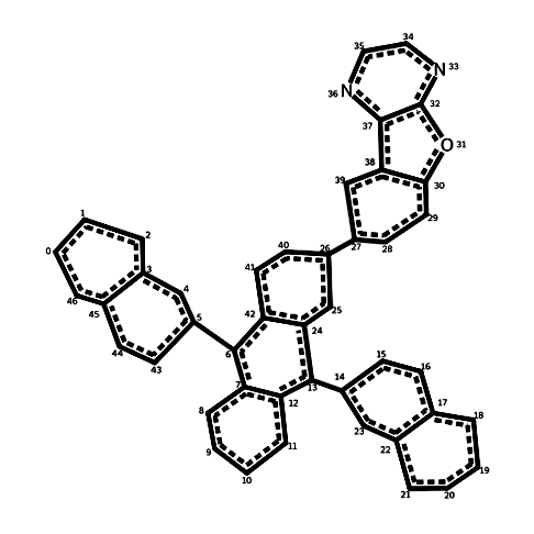 c1ccc2cc(-c3c4ccccc4c(-c4ccc5ccccc5c4)c4cc(-c5ccc6oc7nccnc7c6c5)ccc34)ccc2c1